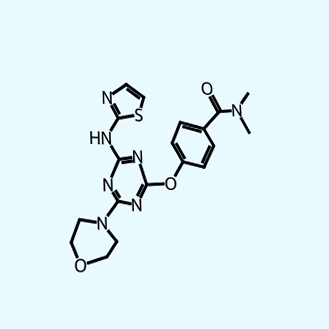 CN(C)C(=O)c1ccc(Oc2nc(Nc3nccs3)nc(N3CCOCC3)n2)cc1